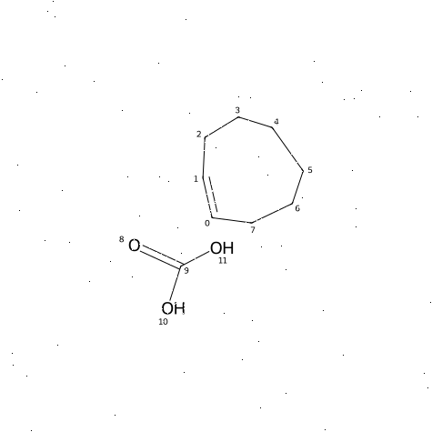 C1=CCCCCCC1.O=C(O)O